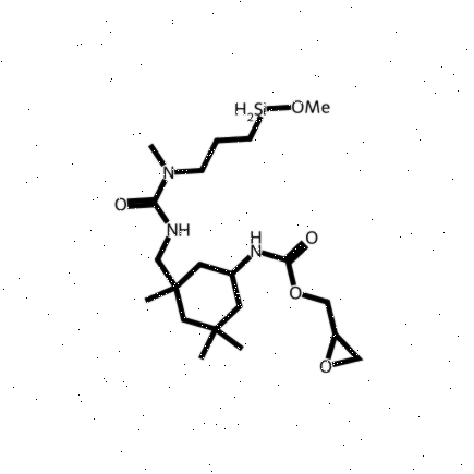 CO[SiH2]CCCN(C)C(=O)NCC1(C)CC(NC(=O)OCC2CO2)CC(C)(C)C1